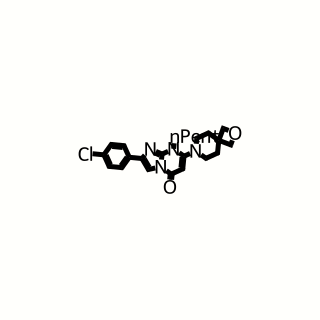 CCCCCn1c(N2CCC3(CC2)COC3)cc(=O)n2cc(-c3ccc(Cl)cc3)nc12